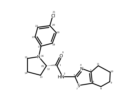 O=C(Nc1nc2c(s1)CCCC2)[C@@H]1CCCN1c1ccc(Cl)cc1